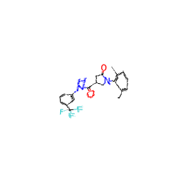 Cc1cccc(C)c1N1CC(C(=O)Nc2cccc(C(F)(F)F)c2)CC1=O